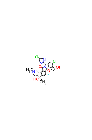 CCC(O)(c1cc(F)c2c(c1)C(=O)N(Cc1ncc(Cl)cn1)[C@@]2(OC1CC(O)C1)c1ccc(Cl)cc1)C1CCN(C)CC1